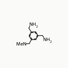 CNCc1cc(CN)cc(CN)c1